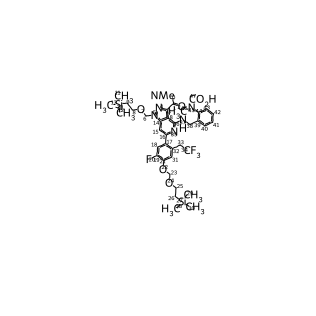 CNC(=O)c1nn(COCC[Si](C)(C)C)c2cc(-c3cc(F)c(OCOCC[Si](C)(C)C)cc3CC(F)(F)F)nc(NCc3ccccc3N(C)C(=O)O)c12